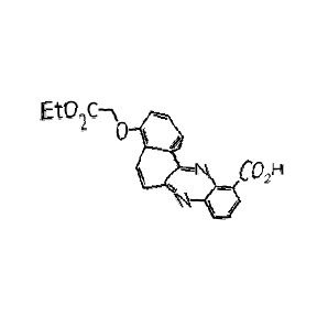 CCOC(=O)COc1cccc2c1ccc1nc3cccc(C(=O)O)c3nc12